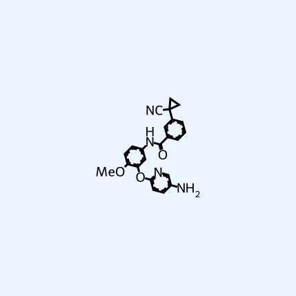 COc1ccc(NC(=O)c2cccc(C3(C#N)CC3)c2)cc1Oc1ccc(N)cn1